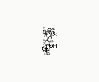 COc1cc(-c2ccc(C3=NC(C)(C)CO3)c(O)c2C)cc(OC)c1OC